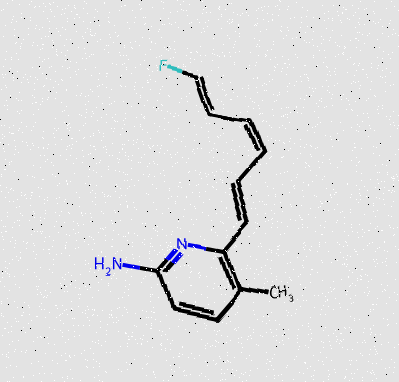 Cc1ccc(N)nc1/C=C/C=C\C=C\F